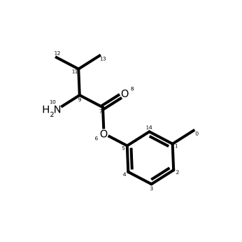 Cc1cccc(OC(=O)C(N)C(C)C)c1